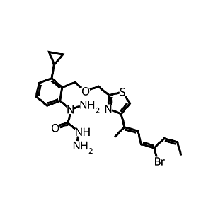 C\C=C/C(Br)=C\C=C(/C)c1csc(COCc2c(C3CC3)cccc2N(N)C(=O)NN)n1